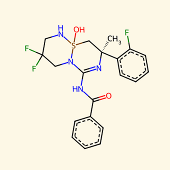 C[C@@]1(c2ccccc2F)CS2(O)NCC(F)(F)CN2C(NC(=O)c2ccccc2)=N1